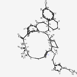 C[C@@H]1CC/C=C/[C@H](OCc2cn(C)nn2)[C@@H]2CC[C@H]2CN2C[C@@]3(CCCc4cc(Cl)ccc43)COc3ccc(cc32)C(=O)NS1(=O)=O